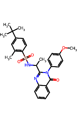 COc1ccc(-n2c(C(C)NS(=O)(=O)c3ccc(C(C)(C)C)cc3C)nc3ccccc3c2=O)cc1